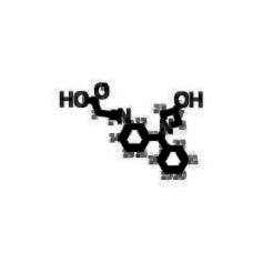 N#CCC(=O)O.OC1CN(C(c2ccccc2)c2ccccc2)C1